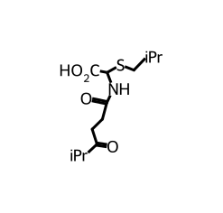 CC(C)CSC(NC(=O)CCC(=O)C(C)C)C(=O)O